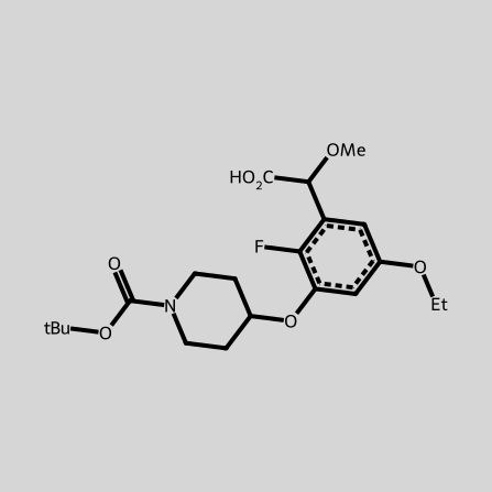 CCOc1cc(OC2CCN(C(=O)OC(C)(C)C)CC2)c(F)c(C(OC)C(=O)O)c1